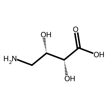 NC[C@H](O)[C@@H](O)C(=O)O